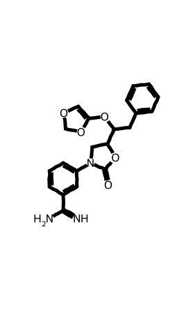 N=C(N)c1cccc(N2CC(C(Cc3ccccc3)OC3=COCO3)OC2=O)c1